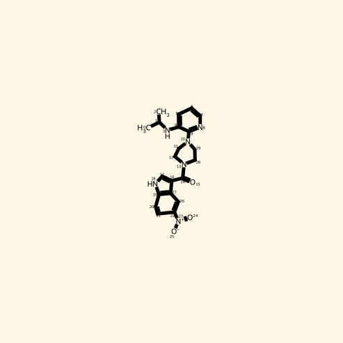 CC(C)Nc1cccnc1N1CCN(C(=O)c2c[nH]c3ccc([N+](=O)[O-])cc23)CC1